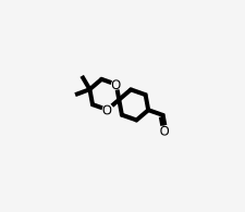 CC1(C)COC2(CCC(C=O)CC2)OC1